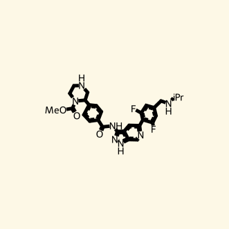 COC(=O)N1CCNCC1c1ccc(C(=O)Nc2n[nH]c3cnc(-c4c(F)cc(CNC(C)C)cc4F)cc23)cc1